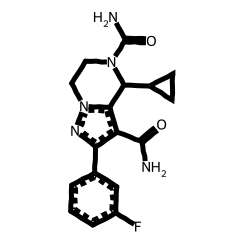 NC(=O)c1c(-c2cccc(F)c2)nn2c1C(C1CC1)N(C(N)=O)CC2